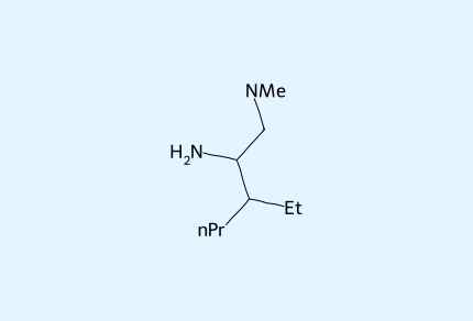 CCCC(CC)C(N)CNC